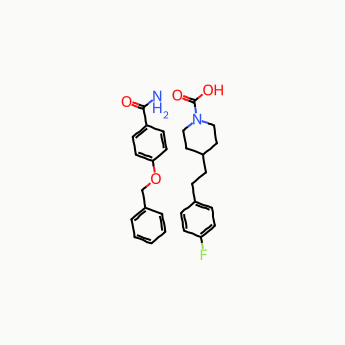 NC(=O)c1ccc(OCc2ccccc2)cc1.O=C(O)N1CCC(CCc2ccc(F)cc2)CC1